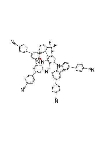 N#Cc1ccc(-c2ccc3c(c2)c2cc(-c4ccc(C#N)cc4)ccc2n3-c2ccc(-c3c(C#N)cccc3C(F)(F)F)c(-n3c4ccc(-c5ccc(C#N)cc5)cc4c4cc(-c5ccc(C#N)cc5)ccc43)c2C#N)cc1